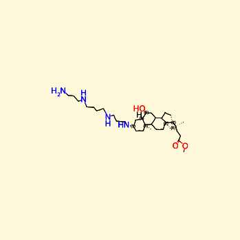 COC(=O)CC[C@@H](C)[C@H]1CCC2C3C[C@@H](O)[C@H]4C[C@@H](NCCCNCCCCNCCCN)CC[C@]4(C)C3CC[C@@]21C